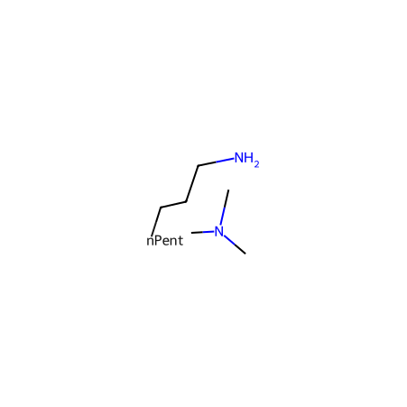 CCCCCCCCN.CN(C)C